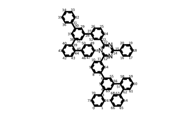 c1ccc(-c2cc(-c3cccc(-c4nc(-c5ccccc5)nc(-c5cccc(-c6cc(-c7ccccc7)cc(-c7ccccc7-c7ccccc7)c6)c5)n4)c3)cc(-c3ccccc3-c3ccccc3)c2)cc1